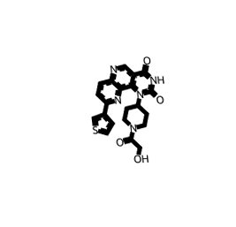 O=C(CO)N1CCC(n2c(=O)[nH]c(=O)c3cnc4ccc(-c5ccsc5)nc4c32)CC1